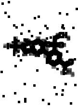 CCS(=O)(=O)c1cc(C(C)=O)cnc1-c1ccn2nc(C(F)(F)F)cc2n1